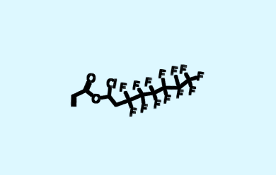 C=CC(=O)OC(Cl)CC(F)(F)C(F)(F)C(F)(F)C(F)(F)C(F)(F)C(F)(F)F